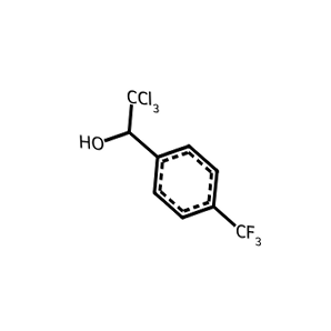 OC(c1ccc(C(F)(F)F)cc1)C(Cl)(Cl)Cl